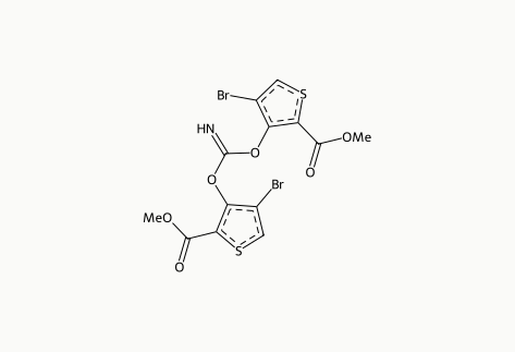 COC(=O)c1scc(Br)c1OC(=N)Oc1c(Br)csc1C(=O)OC